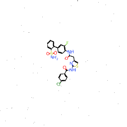 NS(=O)(=O)c1ccccc1-c1ccc(NC(=O)Cc2csc(NC(=O)c3ccc(Cl)cc3)n2)c(F)c1